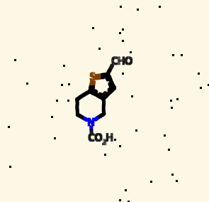 O=Cc1cc2c(s1)CCN(C(=O)O)C2